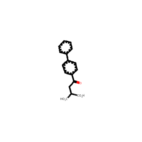 O=C(CC(C(=O)O)C(=O)O)c1ccc(-c2ccccc2)cc1